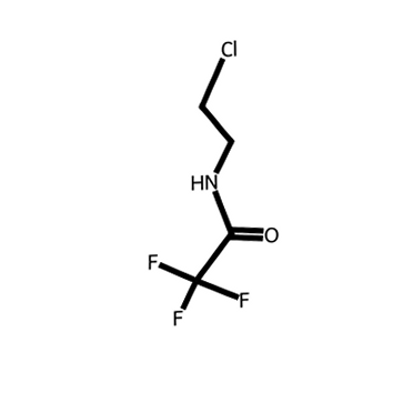 O=C(NCCCl)C(F)(F)F